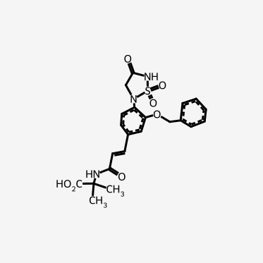 CC(C)(NC(=O)/C=C/c1ccc(N2CC(=O)NS2(=O)=O)c(OCc2ccccc2)c1)C(=O)O